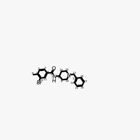 Cc1ccc(C(=O)NC2CCN(Cc3ccccc3)CC2)cc1Br